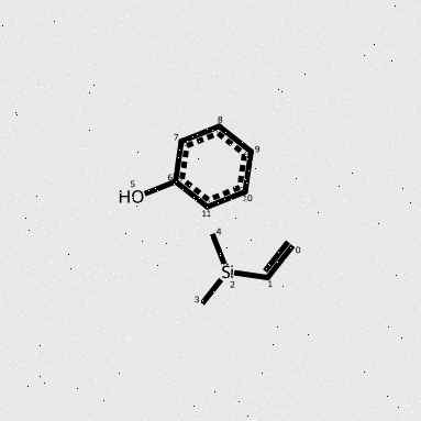 C=C[Si](C)C.Oc1ccccc1